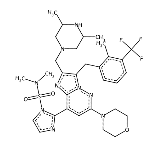 Cc1c(Cc2c(CN3CC(C)NC(C)C3)nc3c(-c4nccn4S(=O)(=O)N(C)C)cc(N4CCOCC4)nn23)cccc1C(F)(F)F